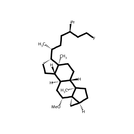 CO[C@@H]1C[C@H]2[C@@H]3CC[C@H]([C@H](C)CC[C@H](CCF)C(C)C)[C@@]3(C)CC[C@@H]2[C@@]2(C)CC[C@H]3C[C@]312